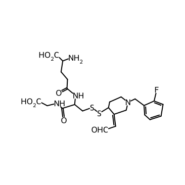 NC(CCC(=O)NC(CSSC1CCN(Cc2ccccc2F)C/C1=C/C=O)C(=O)NCC(=O)O)C(=O)O